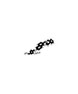 COc1cc(CC(C)C)ccc1COc1ccc2c(c1)CCC(CN1CCC3CCCCC3C1)=C2C